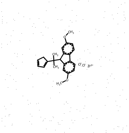 COc1ccc2c(c1)C(C(C)(C)C1=CC=CC1)c1cc(OC)ccc1-2.[Cl-].[Cl-].[Zr+2]